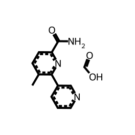 Cc1ccc(C(N)=O)nc1-c1cccnc1.O=CO